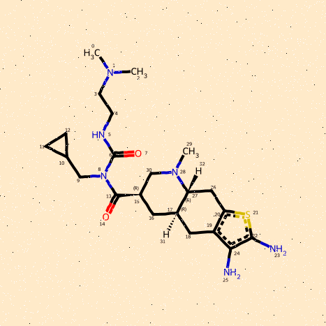 CN(C)CCNC(=O)N(CC1CC1)C(=O)[C@@H]1C[C@@H]2Cc3c(sc(N)c3N)C[C@H]2N(C)C1